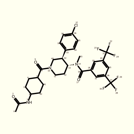 CC(=O)NC1CCC(C(=O)N2CC[C@@H](N(C)C(=O)c3cc(C(F)(F)F)cc(C(F)(F)F)c3)[C@H](c3ccc(Cl)cc3)C2)CC1